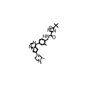 Cc1cc(-c2ncnn3cc(N4CCN(C)[C@H](C)C4)cc23)ccc1CNC(=O)c1noc(C(C)(C)C)n1